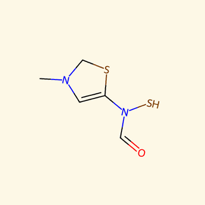 CN1C=C(N(S)C=O)SC1